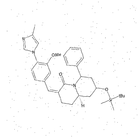 COc1cc(C=C2CC[C@@H]3CC(O[Si](C)(C)C(C)(C)C)CC(c4ccccc4)N3C2=O)ccc1-n1cnc(C)c1